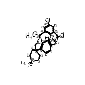 C[C@@H](OCC1(c2ccc(F)cc2)CCN(C)CC1)c1cc(Cl)cc2c(Cl)n[nH]c12